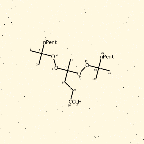 CCCCCC(C)(C)OOC(C)(CCC(=O)O)OOC(C)(C)CCCCC